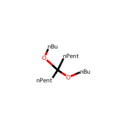 CCCCCC(CCCCC)(OCCCC)OCCCC